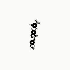 O=C1c2ccc(Oc3c(Cl)cc([N+](=O)[O-])cc3Cl)cc2CCN1Cc1cccc(OC(F)(F)F)c1